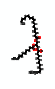 CC/C=C\C/C=C\C/C=C\CCCCCCCC(=O)OC[C@@H](COC(=O)CCCCCCC/C=C\CCCCCCC)OC(=O)CCCCCCCCCCCCCCCCC